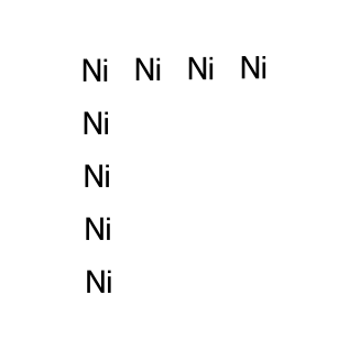 [Ni].[Ni].[Ni].[Ni].[Ni].[Ni].[Ni].[Ni]